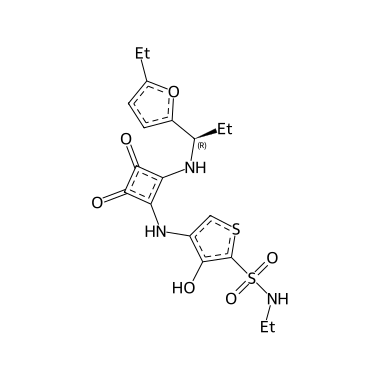 CCNS(=O)(=O)c1scc(Nc2c(N[C@H](CC)c3ccc(CC)o3)c(=O)c2=O)c1O